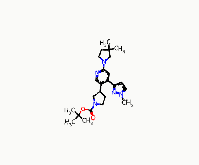 Cn1ccc(-c2cc(N3CCC(C)(C)C3)ncc2C2CCN(C(=O)OC(C)(C)C)C2)n1